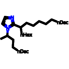 CCCCCCCCCCCCCCCC(CCCCCC)c1nccn1C(C)CCCCCCCCCCCC